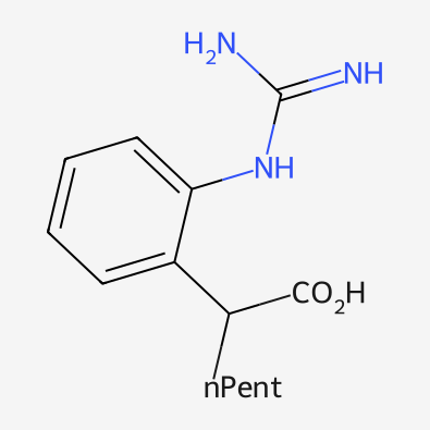 CCCCCC(C(=O)O)c1ccccc1NC(=N)N